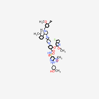 CCOc1nc2c(cc1Oc1cc(N3CCC4(CC3)CN(C3CCN(Cc5ccc(C6CC6)c(OC)c5)CC3c3ccccc3C(C)C)C4)ccc1C(=O)NS(=O)(=O)c1cnc(NC[C@H]3CC[C@](C)(O)CC3)c([NH+](C)[O-])c1)C(F)=CC2